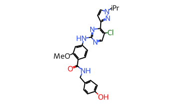 COc1cc(Nc2ncc(Cl)c(-c3ccn(C(C)C)n3)n2)ccc1C(=O)NCc1ccc(O)cc1